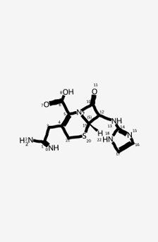 N=C(N)CC1=C(C(=O)O)N2C(=O)C(Nc3ncc[nH]3)[C@@H]2SC1